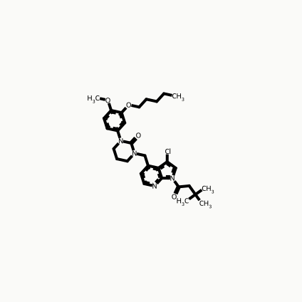 CCCCCOc1cc(N2CCCN(Cc3ccnc4c3c(Cl)cn4C(=O)CC(C)(C)C)C2=O)ccc1OC